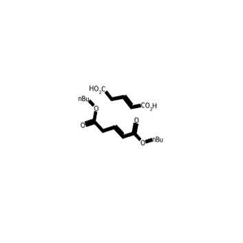 CCCCOC(=O)C=CCC(=O)OCCCC.O=C(O)C=CCC(=O)O